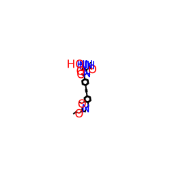 CCOC1CN(Cc2ccc(C#Cc3ccc(C(=O)N(C)C(C(=O)NC)C(=O)NO)cc3)cc2OC)C1